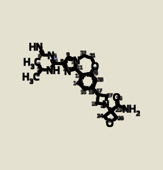 CC(C)N/C(=N\C=N)c1cn2c(n1)-c1ccc(C3CN(C4(C(N)=O)COC4)C3)cc1OCC2